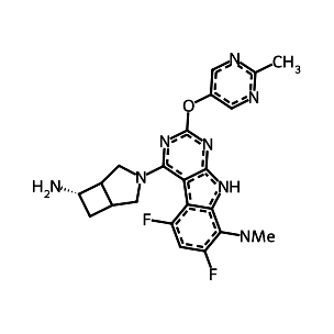 CNc1c(F)cc(F)c2c1[nH]c1nc(Oc3cnc(C)nc3)nc(N3CC4C[C@H](N)C4C3)c12